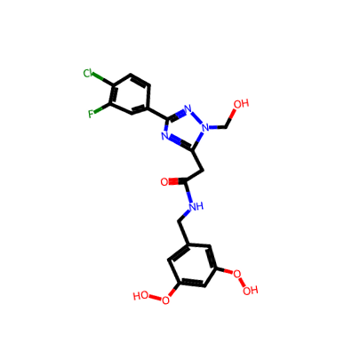 O=C(Cc1nc(-c2ccc(Cl)c(F)c2)nn1CO)NCc1cc(OO)cc(OO)c1